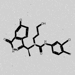 C[C@@H](c1n[nH]c(=O)c2cc(Cl)ccc12)N(CCCO)C(=O)Nc1ccc(F)c(Cl)c1